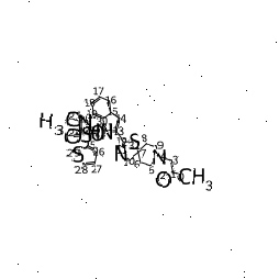 CC(=O)CN1CCC2(CC1)CN=C(c1cc3cccc(N(C)S(=O)(=O)c4cccs4)c3[nH]1)S2